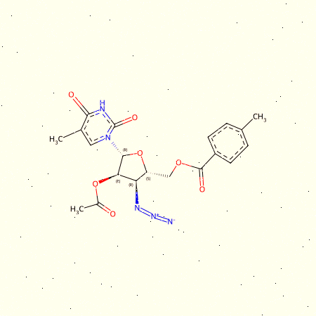 CC(=O)O[C@@H]1[C@H](N=[N+]=[N-])[C@@H](COC(=O)c2ccc(C)cc2)O[C@H]1n1cc(C)c(=O)[nH]c1=O